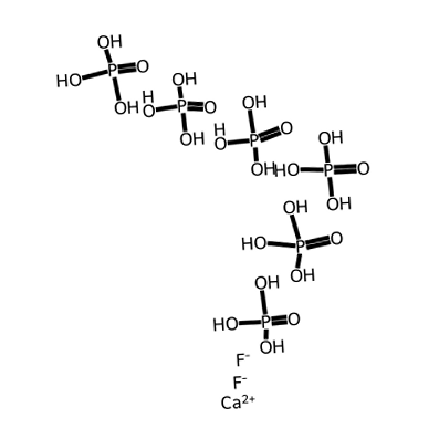 O=P(O)(O)O.O=P(O)(O)O.O=P(O)(O)O.O=P(O)(O)O.O=P(O)(O)O.O=P(O)(O)O.[Ca+2].[F-].[F-]